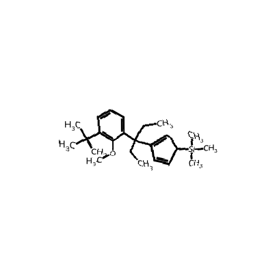 CCC(CC)(C1=CC([Si](C)(C)C)C=C1)c1cccc(C(C)(C)C)c1OC